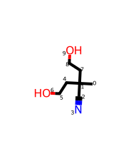 CC(C#N)(CCO)CCO